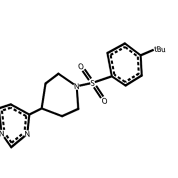 CC(C)(C)c1ccc(S(=O)(=O)N2CCC(c3ccncn3)CC2)cc1